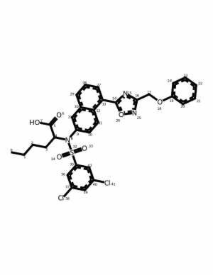 CCCCC(C(=O)O)N(c1ccc2c(-c3nc(COc4ccccc4)no3)cccc2c1)S(=O)(=O)c1cc(Cl)cc(Cl)c1